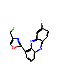 ClCc1coc(-c2cccc3nc4ccc(I)cc4nc23)n1